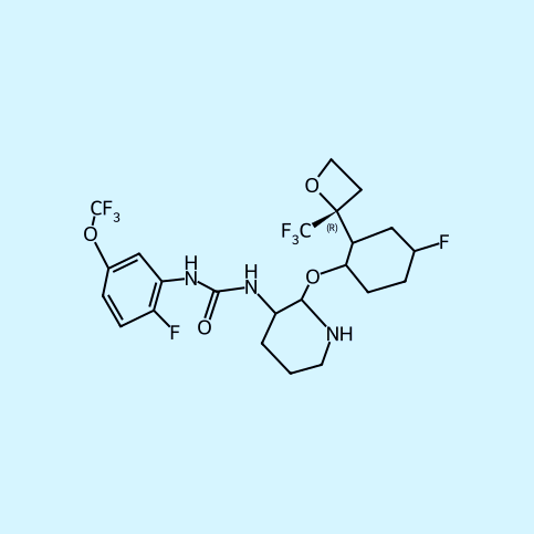 O=C(Nc1cc(OC(F)(F)F)ccc1F)NC1CCCNC1OC1CCC(F)CC1[C@@]1(C(F)(F)F)CCO1